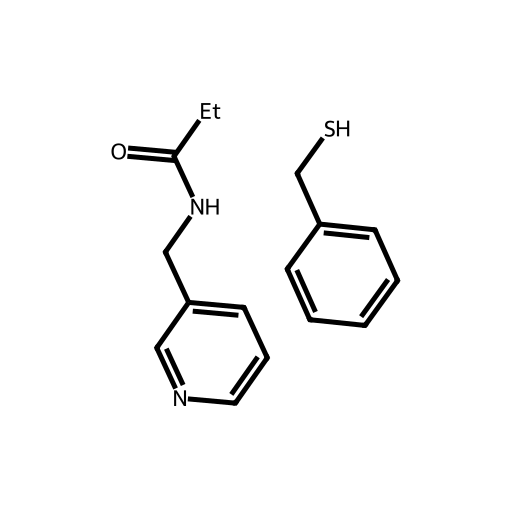 CCC(=O)NCc1cccnc1.SCc1ccccc1